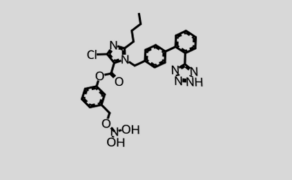 CCCCc1nc(Cl)c(C(=O)Oc2cccc(CON(O)O)c2)n1Cc1ccc(-c2ccccc2-c2nn[nH]n2)cc1